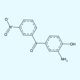 Nc1cc(C(=O)c2cccc([N+](=O)[O-])c2)ccc1O